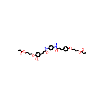 C=CC(=O)OCCCCOc1ccc(/C=C/C(=O)Nc2ccc(N(C)C(=O)/C=C/c3ccc(OCCCCOC(=O)C=C)c(OC)c3)cc2)cc1